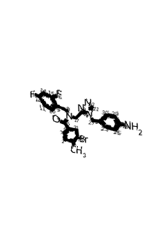 Cc1ccc(C(=O)N(Cc2ccc(F)cc2F)Cc2nncn2Cc2ccc(N)cc2)cc1Br